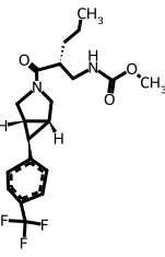 CCC[C@H](CNC(=O)OC)C(=O)N1C[C@@H]2[C@H](C1)[C@H]2c1ccc(C(F)(F)F)cc1